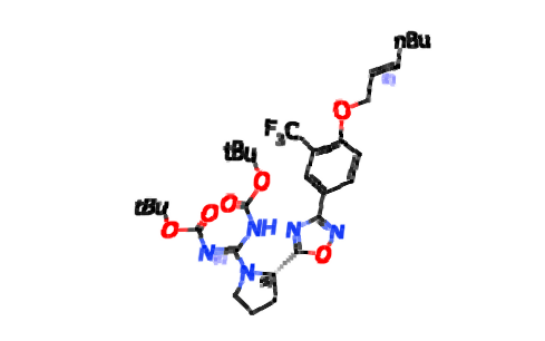 CCCC/C=C/COc1ccc(-c2noc([C@@H]3CCCN3/C(=N/C(=O)OC(C)(C)C)NC(=O)OC(C)(C)C)n2)cc1C(F)(F)F